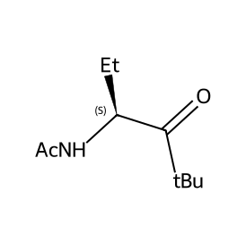 CC[C@H](NC(C)=O)C(=O)C(C)(C)C